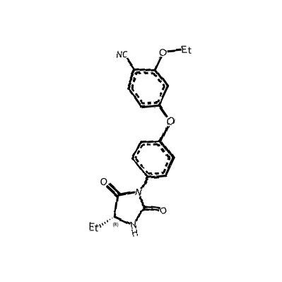 CCOc1cc(Oc2ccc(N3C(=O)N[C@H](CC)C3=O)cc2)ccc1C#N